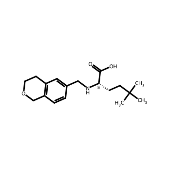 CC(C)(C)CC[C@H](NCc1ccc2c(c1)CCOC2)C(=O)O